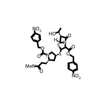 CNC(=O)CC[C@@H]1C[C@H](SC2S[C@@H]3[C@@H](C(C)O)C(=O)N3C2C(=O)OCc2ccc([N+](=O)[O-])cc2)CN1C(=O)OCc1ccc([N+](=O)[O-])cc1